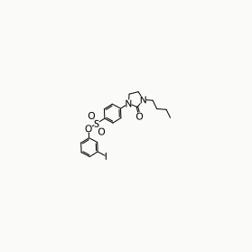 CCCCN1CCN(c2ccc(S(=O)(=O)Oc3cccc(I)c3)cc2)C1=O